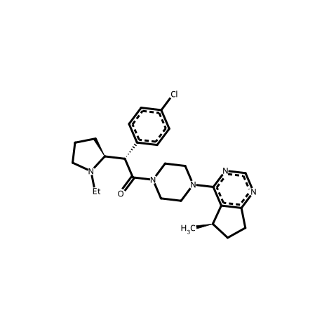 CCN1CCC[C@H]1[C@@H](C(=O)N1CCN(c2ncnc3c2[C@H](C)CC3)CC1)c1ccc(Cl)cc1